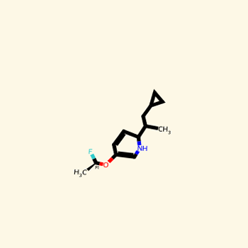 CC(CC1CC1)C1C=CC(O[C@@H](C)F)=CN1